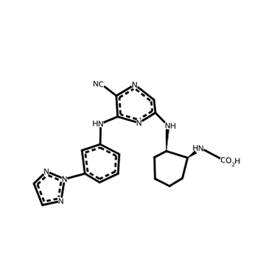 N#Cc1ncc(N[C@@H]2CCCC[C@@H]2NC(=O)O)nc1Nc1cccc(-n2nccn2)c1